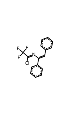 FC(F)(F)C(Cl)=NC(=Cc1ccccc1)c1ccccc1